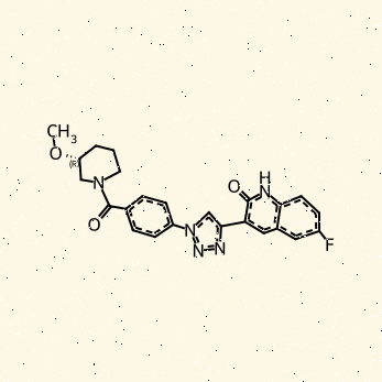 CO[C@@H]1CCCN(C(=O)c2ccc(-n3cc(-c4cc5cc(F)ccc5[nH]c4=O)nn3)cc2)C1